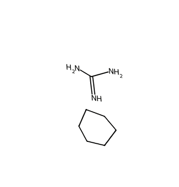 C1CCCCC1.N=C(N)N